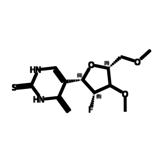 C=C1NC(=S)NC=C1[C@@H]1O[C@H](COC)C(OC)[C@@H]1F